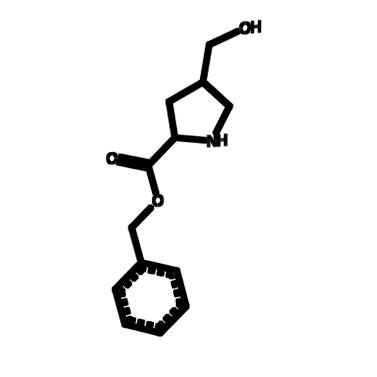 O=C(OCc1ccccc1)C1CC(CO)CN1